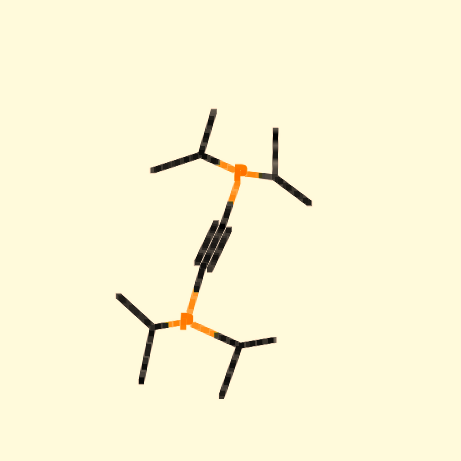 CC(C)P(C#CP(C(C)C)C(C)C)C(C)C